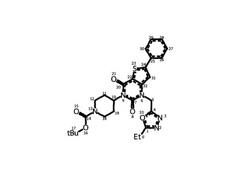 CCc1nnc(Cn2c(=O)n(C3CCN(C(=O)OC(C)(C)C)CC3)c(=O)c3sc(-c4ccccc4)cc32)o1